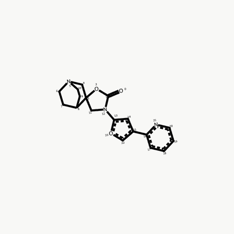 O=C1OC2(CN3CCC2CC3)CN1c1cc(-c2ccccn2)co1